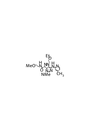 CCOCCn1nc(C(=O)NCCOC)c2nc(NC)nc(Nc3cc(C)ccn3)c21